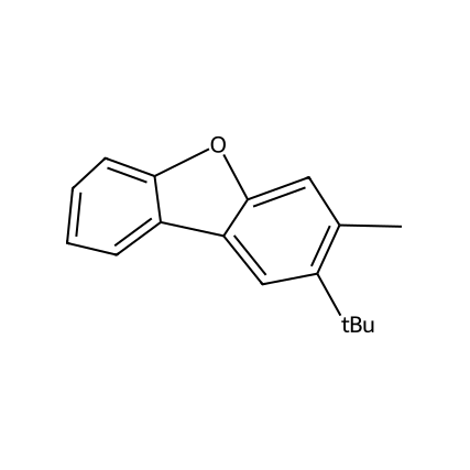 Cc1cc2oc3ccccc3c2cc1C(C)(C)C